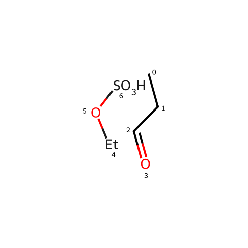 CCC=O.CCOS(=O)(=O)O